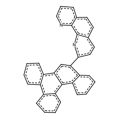 c1cnc2c(c1)ccc1ccc(-c3cc4c5ccccc5c5ccccc5c4c4ccccc34)nc12